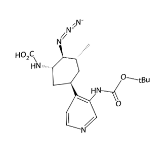 C[C@@H]1C[C@@H](c2ccncc2NC(=O)OC(C)(C)C)C[C@H](NC(=O)O)[C@H]1N=[N+]=[N-]